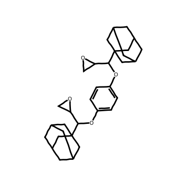 c1cc(OC(C2CO2)C23CC4CC(CC(C4)C2)C3)ccc1OC(C1CO1)C12CC3CC(CC(C3)C1)C2